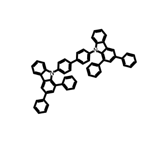 c1ccc(-c2cc(-c3ccccc3)c3c(c2)c2ccccc2n3-c2ccc(-c3ccc(-n4c5ccccc5c5cc(-c6ccccc6)cc(-c6ccccc6)c54)cc3)cc2)cc1